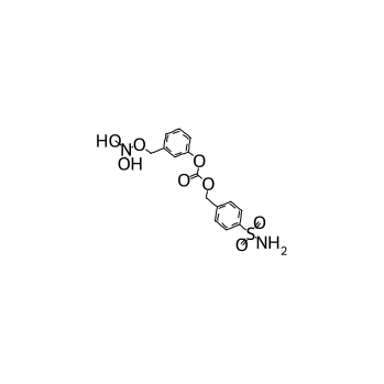 NS(=O)(=O)c1ccc(COC(=O)Oc2cccc(CON(O)O)c2)cc1